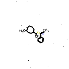 C/C=C(\SC(C)C1CCCCC(C)CC1)c1ccccc1